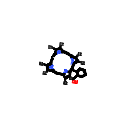 CCC1=C(CC)c2nc1cc1[nH]c(cc3nc(cc4[nH]c(c(CC)c4CC)c2-c2ccccc2CO)C(CC)C3CC)c(CC)c1CC